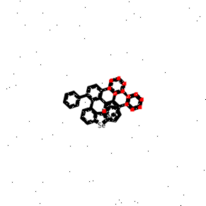 c1ccc(-c2ccccc2-c2c(-c3ccccc3)nnnc2-c2c(-c3ccccc3)ccc(-c3ccccc3)c2-c2cccc3[se]c4ccccc4c23)cc1